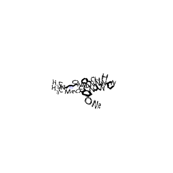 COc1cc(OC)c(Cl)c(N2Cc3cnc(Nc4cccnc4)nc3N(C(C)c3cccc(NC(=O)/C=C/CN(C)C)c3)C2=O)c1